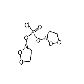 O=P(Cl)(ON1CCOO1)ON1CCOO1